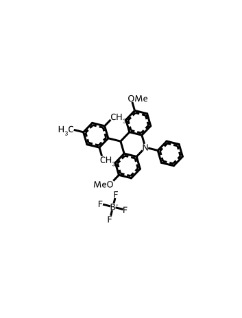 COc1ccc2c(c1)C(c1c(C)cc(C)cc1C)c1cc(OC)ccc1N2c1ccccc1.F[B-](F)(F)F